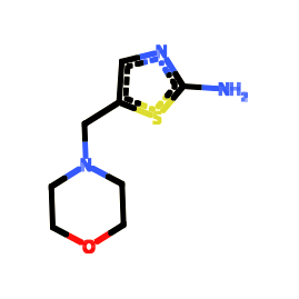 Nc1ncc(CN2CCOCC2)s1